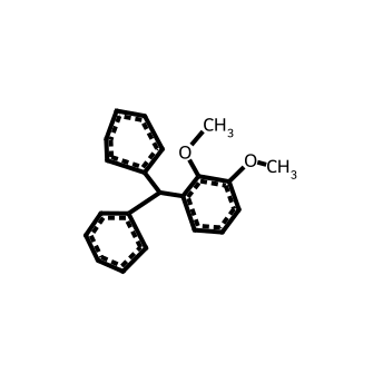 COc1cccc(C(c2ccccc2)c2ccccc2)c1OC